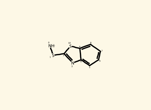 [NH]Sc1nc2ccccc2s1